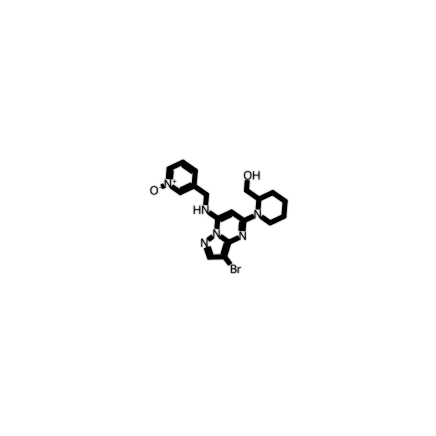 [O-][n+]1cccc(CNc2cc(N3CCCCC3CO)nc3c(Br)cnn23)c1